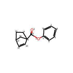 O=C(Oc1ccccc1)C12C=CC(CC1)C2